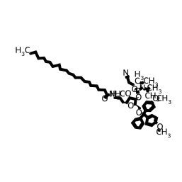 CCCCCCCCCCCCCCCCCCCCCC(=O)NCCC[C@@H]1O[C@H](COC(c2ccccc2)(c2ccc(OC)cc2)c2ccc(OC)cc2)[C@@H](OP(OCCC#N)N(C(C)C)C(C)C)[C@H]1OC